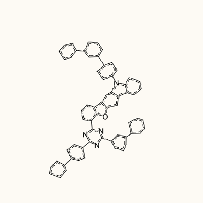 c1ccc(-c2ccc(-c3nc(-c4cccc(-c5ccccc5)c4)nc(-c4cccc5c4oc4cc6c7ccccc7n(-c7ccc(-c8cccc(-c9ccccc9)c8)cc7)c6cc45)n3)cc2)cc1